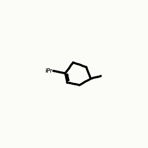 C[C]1CC=C(C(C)C)CC1